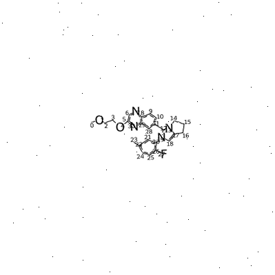 COCCOc1cnc2ccc(C3N4CCCC4=CN3c3cc(C)ccc3F)cc2n1